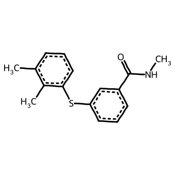 CNC(=O)c1cccc(Sc2cccc(C)c2C)c1